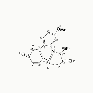 COc1ccc(-c2[nH]c(=O)ccc2-c2ccc(=O)n(C(C)C)n2)cc1